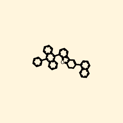 C1=C(c2cccc3ccccc23)CCc2oc3c(-c4c5ccccc5c(-c5ccccc5)c5ccccc45)cccc3c21